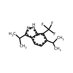 CC(C)c1ccc2c(C(C)C)n[nH]c2c1C(F)(F)F